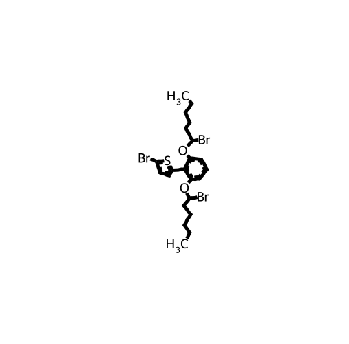 CCCCCC(Br)Oc1cccc(OC(Br)CCCCC)c1-c1ccc(Br)s1